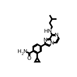 CC(C)CCNc1nccn2cc(-c3ccc(C(N)=O)c(C4CC4)c3)nc12